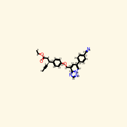 CC#C[C@@H](CC(=O)OCC)c1ccc(OCc2cc(-c3ccc(C#N)cc3)cn3ncnc23)cc1